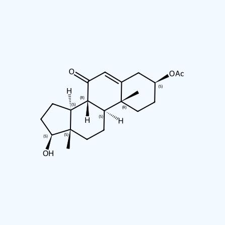 CC(=O)O[C@H]1CC[C@@]2(C)C(=CC(=O)[C@H]3[C@@H]4CC[C@H](O)[C@@]4(C)CC[C@@H]32)C1